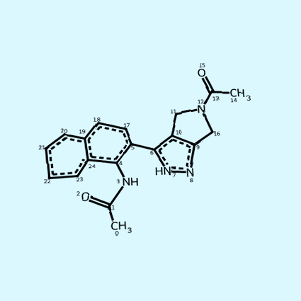 CC(=O)Nc1c(-c2[nH]nc3c2CN(C(C)=O)C3)ccc2ccccc12